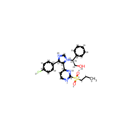 CCCS(=O)(=O)c1nccc(-c2c(-c3ccc(F)cc3)ncn2[C@H](CO)c2ccccc2)n1